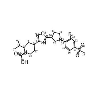 CC(C)C1CC(c2noc(C3CCN(c4ccc(S(C)(=O)=O)cc4F)C3)n2)CCN1C(=O)O